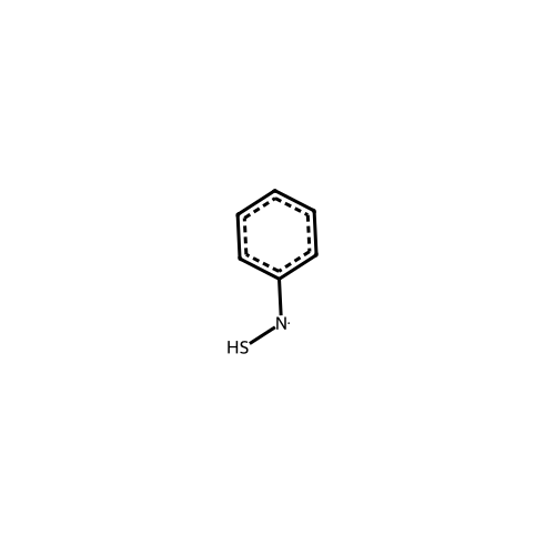 S[N]c1ccccc1